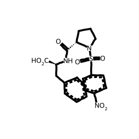 O=C(O)[C@H](Cc1ccccc1)NC(=O)[C@@H]1CCCN1S(=O)(=O)c1ccc([N+](=O)[O-])cc1